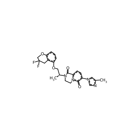 Cc1cn(-c2ccc3n(c2=O)CCN([C@@H](C)COc2cccc4c2CC(F)(F)CO4)C3=O)cn1